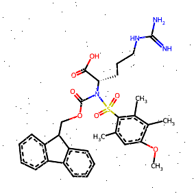 COc1cc(C)c(S(=O)(=O)N(C(=O)OCC2c3ccccc3-c3ccccc32)[C@@H](CCCNC(=N)N)C(=O)O)c(C)c1C